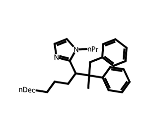 CCCCCCCCCCCCCC(c1nccn1CCC)C(C)(Cc1ccccc1)c1ccccc1